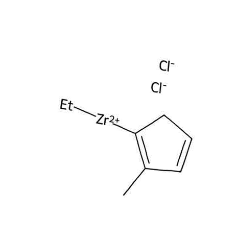 C[CH2][Zr+2][C]1=C(C)C=CC1.[Cl-].[Cl-]